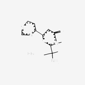 Br.Cn1c(C(C)(C)N)nc(-c2ccncn2)cc1=O